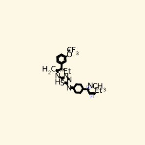 C=C(Nc1nnc(N=C2CCC(C(/C=C\CC)=N/C)CC2)s1)[C@@H](CC)c1cccc(OC(F)(F)F)c1